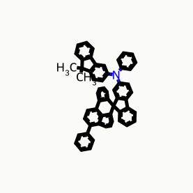 CC1(C)c2ccccc2-c2cc(N(c3ccccc3)c3ccc4c(c3)C3(c5ccccc5-4)c4ccccc4-c4ccc(-c5ccccc5)c5cccc3c45)ccc21